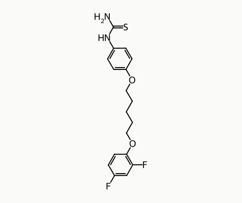 NC(=S)Nc1ccc(OCCCCCOc2ccc(F)cc2F)cc1